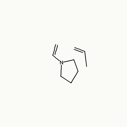 C=CC.C=CN1CCCC1